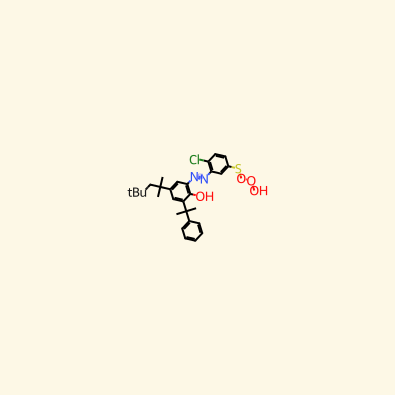 CC(C)(C)CC(C)(C)c1cc(/N=N/c2cc(SOOO)ccc2Cl)c(O)c(C(C)(C)c2ccccc2)c1